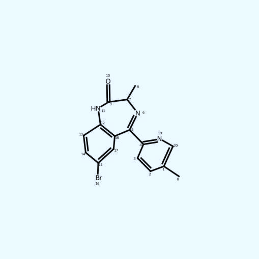 Cc1ccc(C2=NC(C)C(=O)Nc3ccc(Br)cc32)nc1